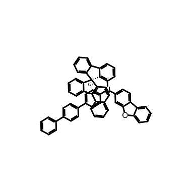 c1ccc(-c2ccc(-c3ccc(N(c4ccc5c(c4)oc4ccccc45)c4cccc5c4[C@@]4(c6ccccc6-5)c5ccccc5-c5c4ccc4ccccc54)cc3)cc2)cc1